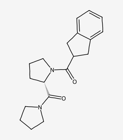 O=C([C@@H]1CCCN1C(=O)C1Cc2ccccc2C1)N1CCCC1